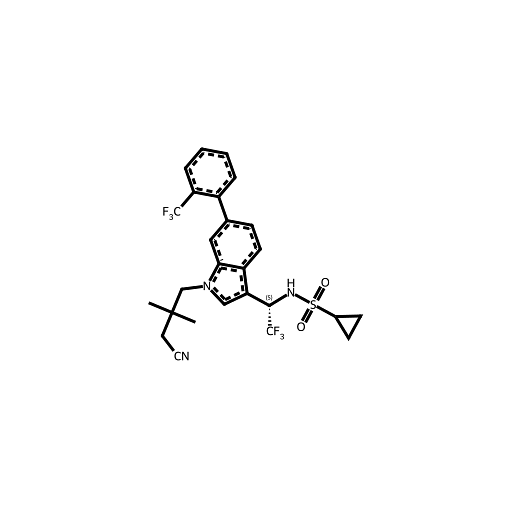 CC(C)(CC#N)Cn1cc([C@H](NS(=O)(=O)C2CC2)C(F)(F)F)c2ccc(-c3ccccc3C(F)(F)F)cc21